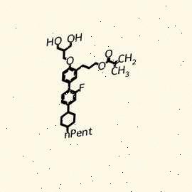 C=C(C)C(=O)OCCCc1cc(-c2ccc(C3CCC(CCCCC)CC3)cc2F)ccc1OCC(CO)CO